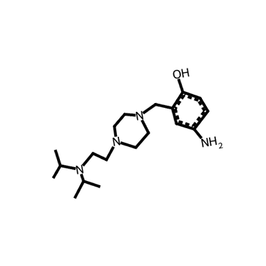 CC(C)N(CCN1CCN(Cc2cc(N)ccc2O)CC1)C(C)C